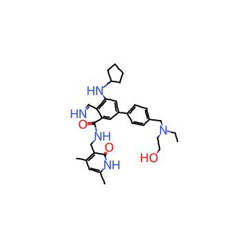 CCN(CCO)Cc1ccc(-c2cc(NC3CCCC3)c(C=N)c(C(=O)NCc3c(C)cc(C)[nH]c3=O)c2)cc1